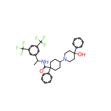 CC(NC(=O)C1(c2ccccc2)CCC(N2CCC(O)(c3ccccc3)CC2)CC1)c1cc(C(F)(F)F)cc(C(F)(F)F)c1